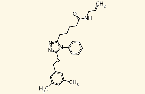 C=CCNC(=O)CCCCc1nnc(SCc2cc(C)cc(C)c2)n1-c1ccccc1